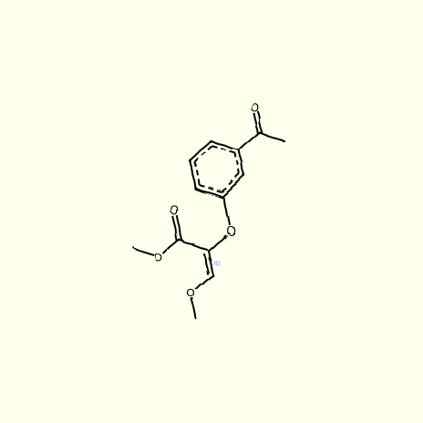 CO/C=C(/Oc1cccc(C(C)=O)c1)C(=O)OC